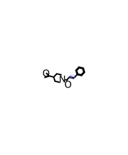 O=C(/C=C/c1ccccc1)N1CCC(C2CO2)CC1